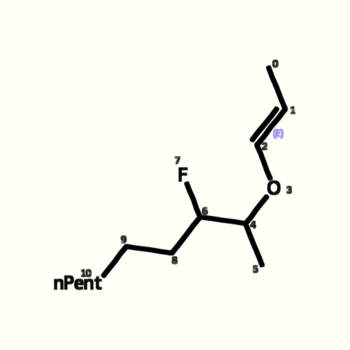 C/C=C/OC(C)C(F)CCCCCCC